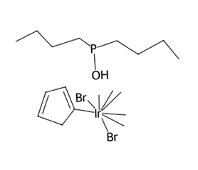 CCCCP(O)CCCC.[CH3][Ir]([CH3])([CH3])([CH3])([CH3])([Br])([Br])[C]1=CC=CC1